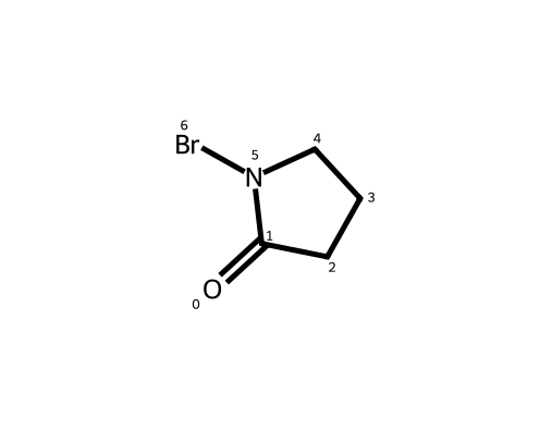 O=C1CCCN1Br